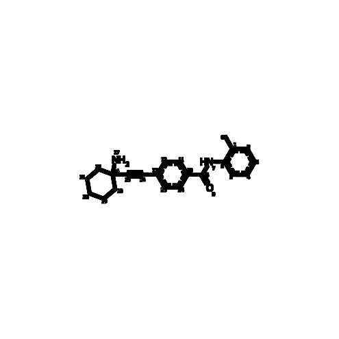 Cc1ccccc1NC(=O)c1ccc(C#CC2(N)CCCCC2)cc1